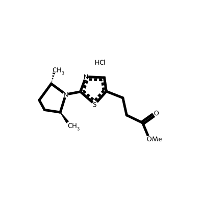 COC(=O)CCc1cnc(N2[C@@H](C)CC[C@@H]2C)s1.Cl